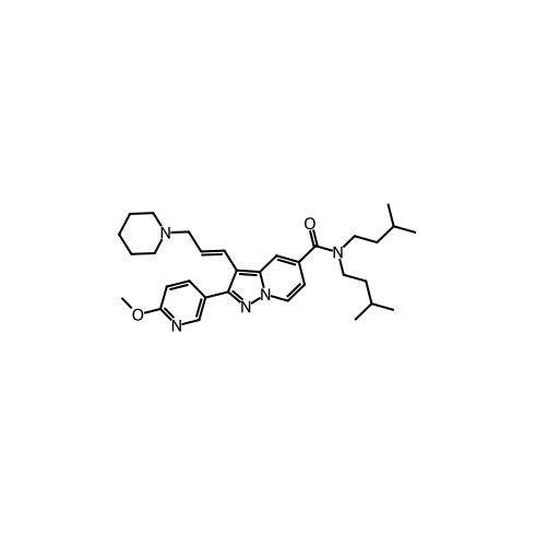 COc1ccc(-c2nn3ccc(C(=O)N(CCC(C)C)CCC(C)C)cc3c2C=CCN2CCCCC2)cn1